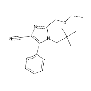 CCOCc1nc(C#N)c(-c2ccccc2)n1CC(C)(C)C